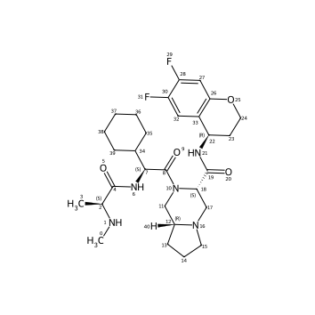 CN[C@@H](C)C(=O)N[C@H](C(=O)N1C[C@H]2CCCN2C[C@H]1C(=O)N[C@@H]1CCOc2cc(F)c(F)cc21)C1CCCCC1